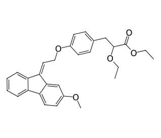 CCOC(=O)C(Cc1ccc(OCC=C2c3ccccc3-c3ccc(OC)cc32)cc1)OCC